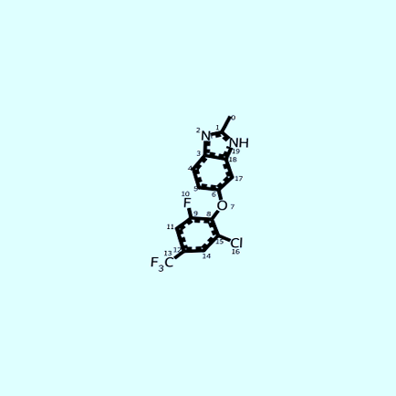 Cc1nc2ccc(Oc3c(F)cc(C(F)(F)F)cc3Cl)cc2[nH]1